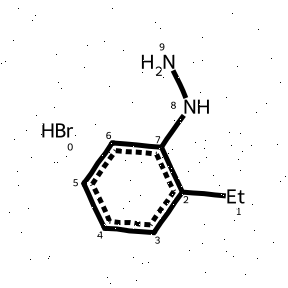 Br.CCc1ccccc1NN